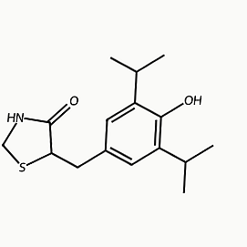 CC(C)c1cc(CC2SCNC2=O)cc(C(C)C)c1O